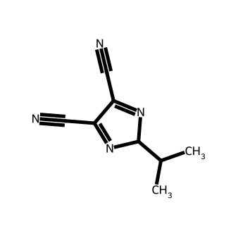 CC(C)C1N=C(C#N)C(C#N)=N1